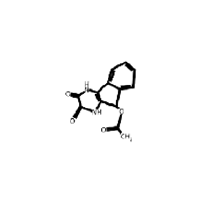 CC(=O)OC1c2ccccc2-c2[nH]c(=O)c(=O)[nH]c21